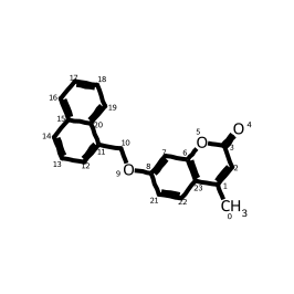 Cc1cc(=O)oc2cc(OCc3cccc4ccccc34)ccc12